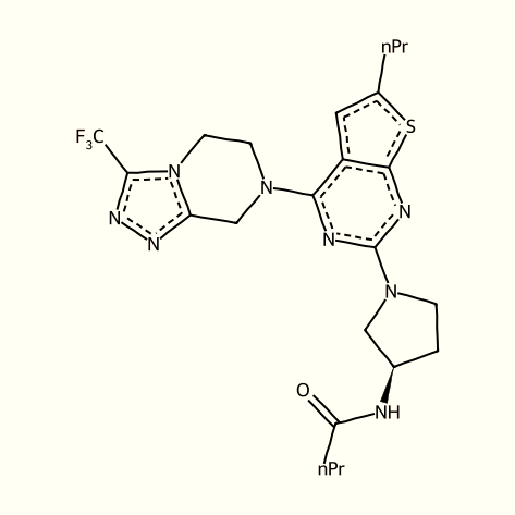 CCCC(=O)N[C@@H]1CCN(c2nc(N3CCn4c(nnc4C(F)(F)F)C3)c3cc(CCC)sc3n2)C1